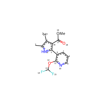 [2H]c1c(C)[nH]c(-c2cccnc2OC(F)F)c1C(=O)OC